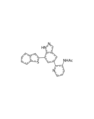 CC(=O)Nc1cccnc1-c1cc(-c2cc3ccccc3s2)c2[nH]ncc2c1